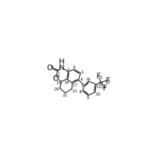 O=C1Nc2ccc(-c3cccc(C(F)(F)F)c3)c3c2C(CCC3)O1